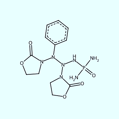 NP(N)(=O)NN(N1CCOC1=O)N(c1ccccc1)N1CCOC1=O